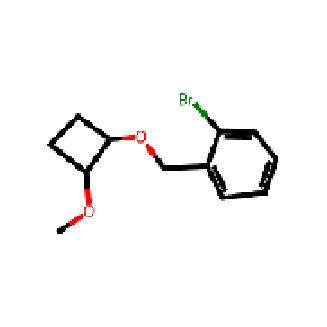 COC1CCC1OCc1ccccc1Br